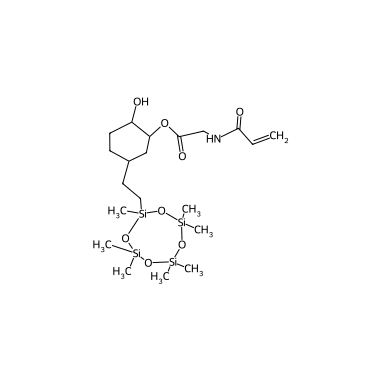 C=CC(=O)NCC(=O)OC1CC(CC[Si]2(C)O[Si](C)(C)O[Si](C)(C)O[Si](C)(C)O2)CCC1O